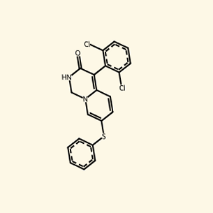 O=C1NCN2C=C(Sc3ccccc3)C=CC2=C1c1c(Cl)cccc1Cl